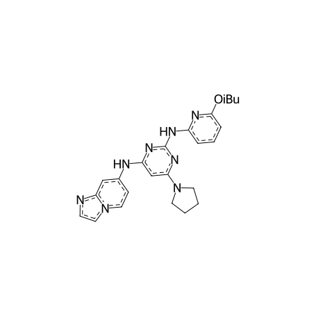 CC(C)COc1cccc(Nc2nc(Nc3ccn4ccnc4c3)cc(N3CCCC3)n2)n1